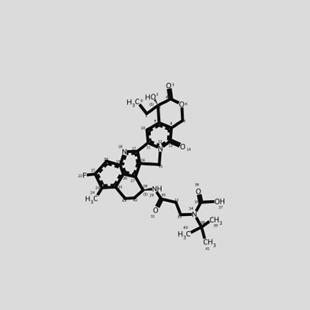 CC[C@@]1(O)C(=O)OCc2c1cc1n(c2=O)Cc2c-1nc1cc(F)c(C)c3c1c2[C@@H](NC(=O)CCN(C(=O)O)C(C)(C)C)CC3